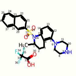 CC1CCc2c(N3CCNCC3)cccc2N1S(=O)(=O)c1ccc2ccccc2c1.O=C(O)C(F)(F)F